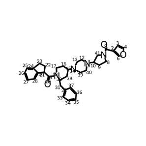 O=C(c1ccoc1)N1CCC(N2CCN(C3CCN(C(=O)C4CCc5ccccc54)C(Cc4ccccc4)C3)CC2)C1